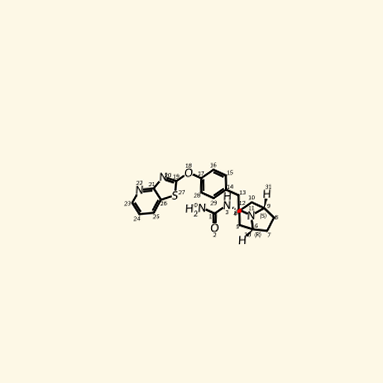 NC(=O)N[C@H]1C[C@H]2CC[C@@H](C1)N2CCc1ccc(Oc2nc3ncccc3s2)cc1